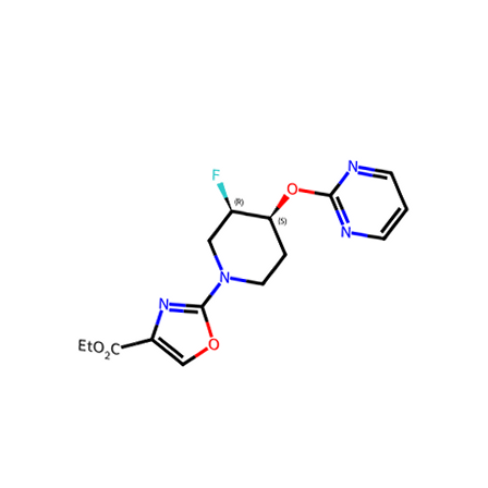 CCOC(=O)c1coc(N2CC[C@H](Oc3ncccn3)[C@H](F)C2)n1